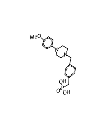 COc1ccc(N2CCN(Cc3ccc(CP(=O)(O)O)cc3)CC2)cc1